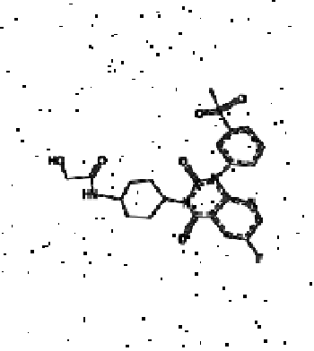 CS(=O)(=O)c1cccc(-n2c(=O)n(C3CCC(NC(=O)CO)CC3)c(=O)c3cc(F)cnc32)c1